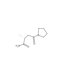 C[C@H]([CH]C(=O)N1CCCC1)C(N)=O